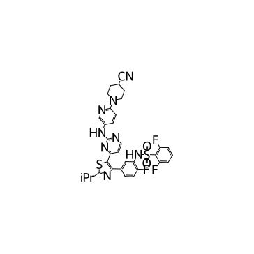 CC(C)c1nc(-c2ccc(F)c(NS(=O)(=O)c3c(F)cccc3F)c2)c(-c2ccnc(Nc3ccc(N4CCC(C#N)CC4)nc3)n2)s1